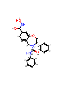 O=C(NO)C1C=C2OC[C@H](c3ccccc3)N(C(=O)Nc3ccccc3)CC2=CC1